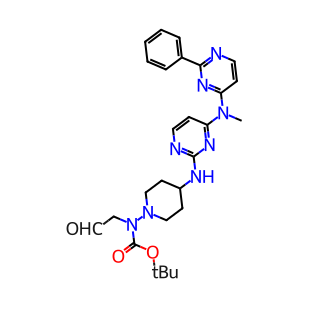 CN(c1ccnc(NC2CCN(N(CC=O)C(=O)OC(C)(C)C)CC2)n1)c1ccnc(-c2ccccc2)n1